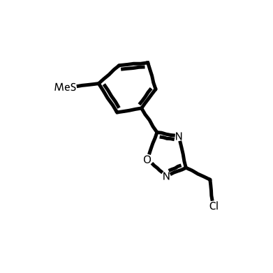 CSc1cccc(-c2nc(CCl)no2)c1